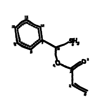 C=CC(=O)OC([SiH3])c1ccccc1